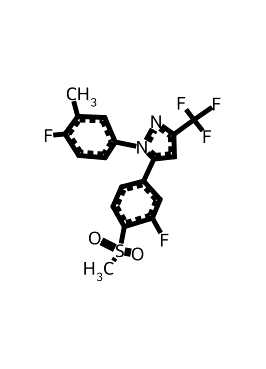 Cc1cc(-n2nc(C(F)(F)F)cc2-c2ccc(S(C)(=O)=O)c(F)c2)ccc1F